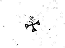 [O]=[V](=[O])([OH])[C](C1CC1)(C1CC1)C1CC1